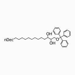 CCCCCCCCCCCCCCCCCCCCC(O)C(O)COC(c1ccccc1)(c1ccccc1)c1ccccc1